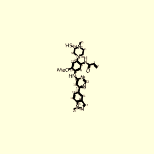 C=CC(=O)Nc1cc(Nc2cc(-c3ccc4c(cnn4C)c3)ncn2)c(OC)cc1N1CCN(C)[C@@H](S)C1